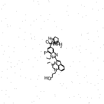 CC[C@H]1CN(CCCO)c2cccc3cc(-c4nc5cc(C(=O)N6C[C@H]7CC[C@@H]6[C@@H]7N)cc(F)c5n4CC)n1c23